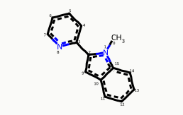 Cn1c(-c2ccccn2)cc2ccccc21